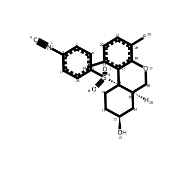 [C-]#[N+]c1ccc(S(=O)(=O)[C@@]23CC[C@H](O)C[C@@H]2COc2c(F)ccc(F)c23)cc1